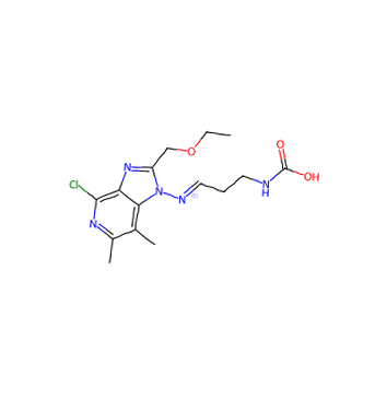 CCOCc1nc2c(Cl)nc(C)c(C)c2n1/N=C/CCNC(=O)O